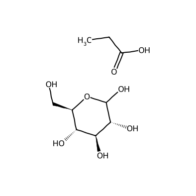 CCC(=O)O.OC[C@H]1OC(O)[C@H](O)[C@@H](O)[C@@H]1O